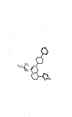 CC1(C)C[C@H]1C(=O)N1CCCC(c2cc[nH]n2)C1COC1CCC(c2ccccc2)CC1